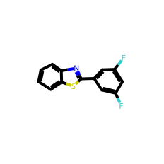 Fc1cc(F)cc(-c2nc3ccccc3s2)c1